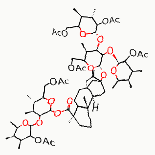 C=C1C[C@@]23CCC4[C@](C)(C(=O)O[C@@H]5OC(COC(C)=O)[C@@H](C)[C@H](C)C5O[C@@H]5OC(C)[C@H](C)[C@H](C)C5OC(C)=O)CCC[C@@]4(C)[C@@H]2CCC1(O[C@@H]1OC(COC(C)=O)[C@@H](C)[C@@H](O[C@@H]2OC(COC(C)=O)[C@@H](C)[C@H](C)C2OC(C)=O)C1O[C@@H]1OC(C)[C@H](C)[C@H](C)C1OC(C)=O)C3